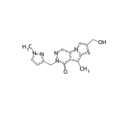 Cc1c2c(=O)n(Cc3ccn(C)n3)ncc2n2cc(CO)sc12